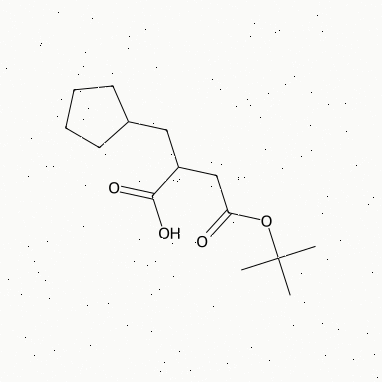 CC(C)(C)OC(=O)CC(CC1CCCC1)C(=O)O